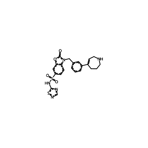 O=c1oc2cc(S(=O)(=O)Nc3ncns3)ccc2n1Cc1cccc(C2=CCNCCC2)c1